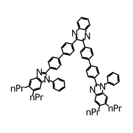 CCCc1cc2nc(-c3ccc(-c4ccc(-c5nc6ccccc6nc5-c5ccc(-c6ccc(-c7nc8cc(CCC)c(CCC)cc8n7-c7ccccc7)cc6)cc5)cc4)cc3)n(-c3ccccc3)c2cc1CCC